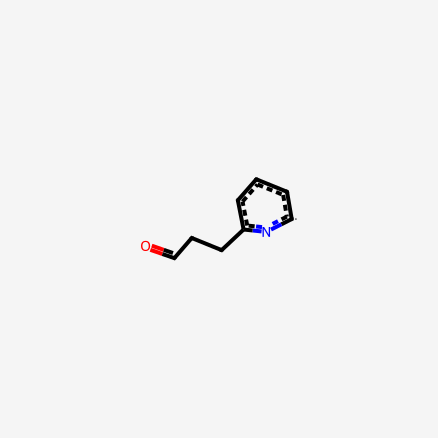 O=CCCc1ccc[c]n1